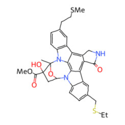 CCSCc1ccc2c(c1)c1c3c(c4c5cc(CCSC)ccc5n5c4c1n2C1CC(O)(C(=O)OC)C5(C)O1)CNC3=O